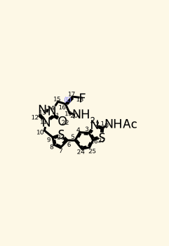 CC(=O)Nc1nc2cc(-c3ccc(Cn4cnn(C/C(=C/F)CN)c4=O)s3)ccc2s1